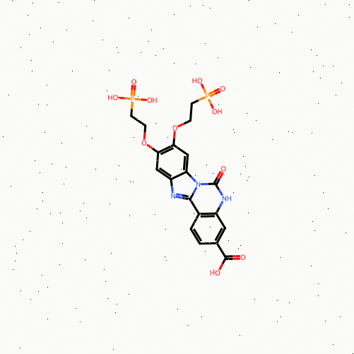 O=C(O)c1ccc2c(c1)[nH]c(=O)n1c3cc(OCCP(=O)(O)O)c(OCCP(=O)(O)O)cc3nc21